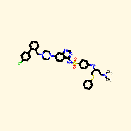 CN(C)CCC(CSc1ccccc1)Nc1ccc(S(=O)(=O)Nc2ncnc3cc(N4CCN(Cc5ccccc5-c5ccc(Cl)cc5)CC4)ccc23)cc1